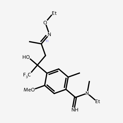 CCO/N=C(\C)CC(O)(c1cc(C)c(C(=N)N(C)CC)cc1OC)C(F)(F)F